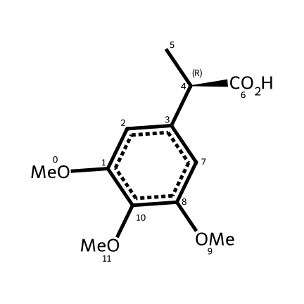 COc1cc([C@@H](C)C(=O)O)cc(OC)c1OC